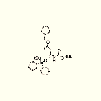 CC(C)(C)OC(=O)N[C@H](CO[Si](c1ccccc1)(c1ccccc1)C(C)(C)C)CC(=O)OCc1ccccc1